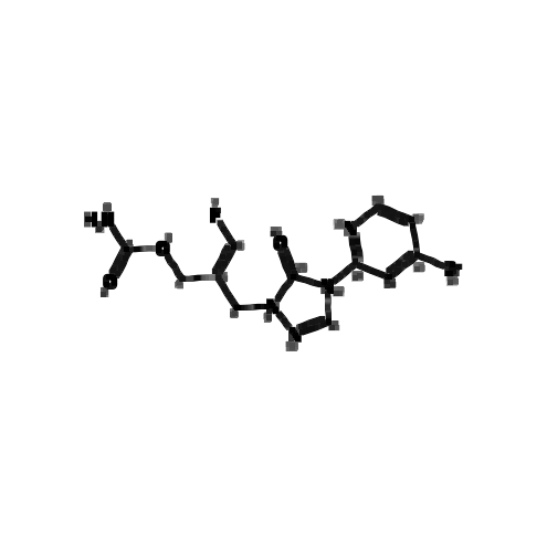 NC(=O)OCC(=CF)Cn1ncn(-c2cc(Br)ccn2)c1=O